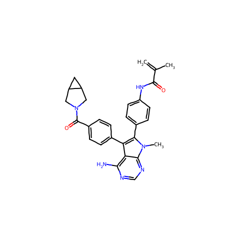 C=C(C)C(=O)Nc1ccc(-c2c(-c3ccc(C(=O)N4CC5CC5C4)cc3)c3c(N)ncnc3n2C)cc1